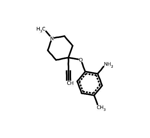 C#CC1(Oc2ccc(C)cc2N)CCN(C)CC1